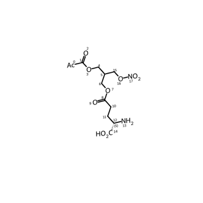 CC(=O)C(=O)OCC(COC(=O)CC[C@H](N)C(=O)O)CO[N+](=O)[O-]